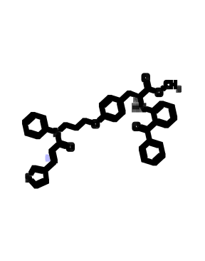 COC(=O)[C@H](Cc1ccc(OCCCN(C(=O)/C=C/c2ccsc2)c2ccccc2)cc1)Nc1ccccc1C(=O)c1ccccc1